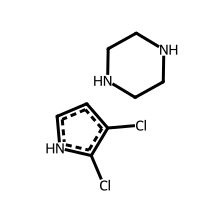 C1CNCCN1.Clc1cc[nH]c1Cl